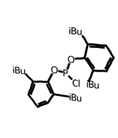 CCC(C)c1cccc(C(C)CC)c1OP(Cl)Oc1c(C(C)CC)cccc1C(C)CC